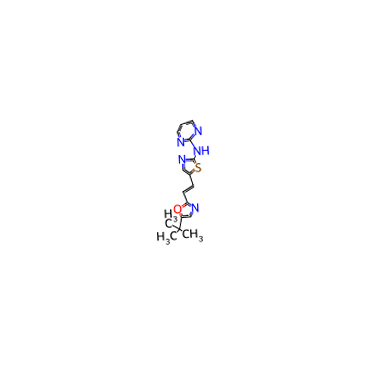 CC(C)(C)c1cnc(/C=C/c2cnc(Nc3ncccn3)s2)o1